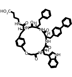 O=C(O)CCCNC(=O)[C@H]1Cc2ccc(cc2)OCC(=O)N[C@@H](Cc2c[nH]c3ccccc23)C(=O)N[C@H](Cc2ccc(-c3ccccc3)cc2)C(=O)N[C@@H](CCc2ccccc2)C(=O)N1